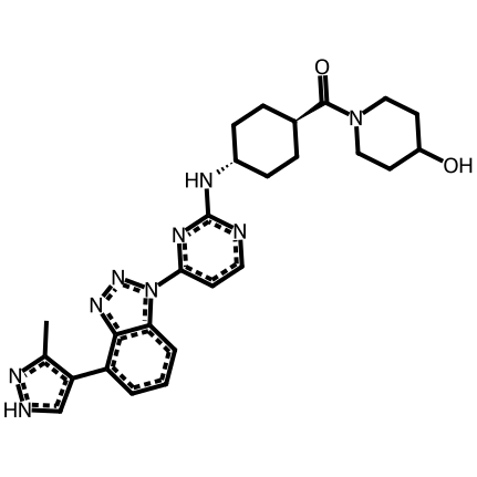 Cc1n[nH]cc1-c1cccc2c1nnn2-c1ccnc(N[C@H]2CC[C@H](C(=O)N3CCC(O)CC3)CC2)n1